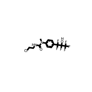 CN(C(=O)NCCCl)c1ccc(C(F)(F)C(O)(F)C(F)(F)F)cc1